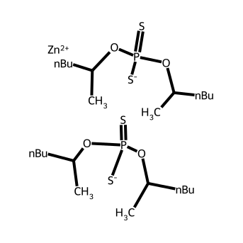 CCCCC(C)OP(=S)([S-])OC(C)CCCC.CCCCC(C)OP(=S)([S-])OC(C)CCCC.[Zn+2]